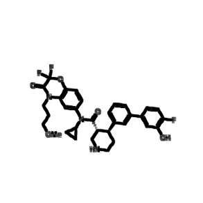 COCCCN1C(=O)C(F)(F)Oc2ccc(N(C(=O)[C@H]3CNCC[C@@H]3c3cccc(-c4ccc(F)c(O)c4)c3)C3CC3)cc21